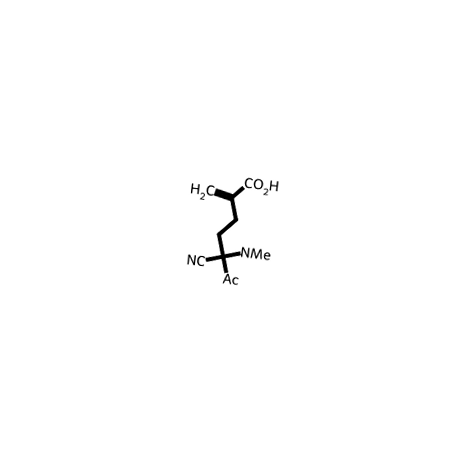 C=C(CCC(C#N)(NC)C(C)=O)C(=O)O